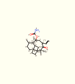 C=C[C@]1(C)C[C@@H](OC(N)=O)[C@]2(C)C(C)CC[C@]34CC[C@@]3(CC24)[C@@H](C)C1=O